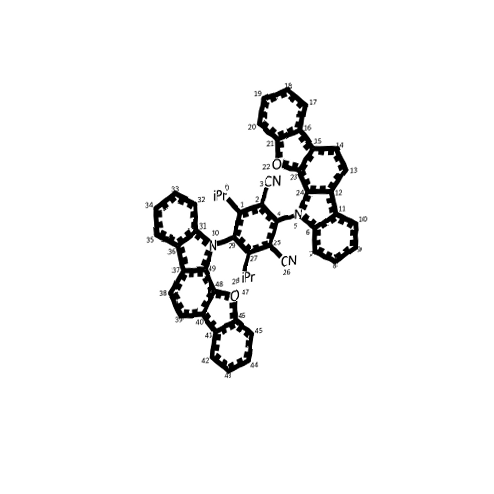 CC(C)c1c(C#N)c(-n2c3ccccc3c3ccc4c5ccccc5oc4c32)c(C#N)c(C(C)C)c1-n1c2ccccc2c2ccc3c4ccccc4oc3c21